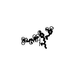 CCCC(C#N)CCC(c1ccc(OC)c(OCC(=O)NN2CCC(CO[N+](=O)[O-])CC2)c1)N(C)CCc1ccc(OC)c(OC)c1